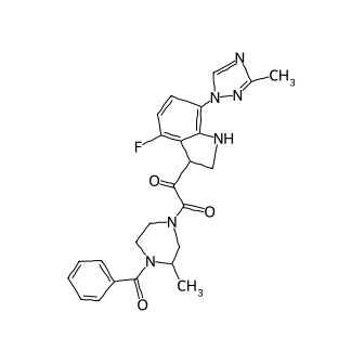 Cc1ncn(-c2ccc(F)c3c2NCC3C(=O)C(=O)N2CCN(C(=O)c3ccccc3)C(C)C2)n1